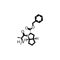 C[C@H](N)C(=O)N1[C@H](C(=O)OCc2ccccc2)C[C@@H]2CCC[C@@H]21